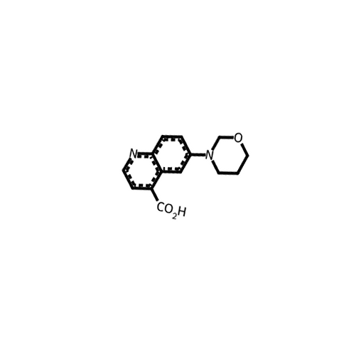 O=C(O)c1ccnc2ccc(N3CCCOC3)cc12